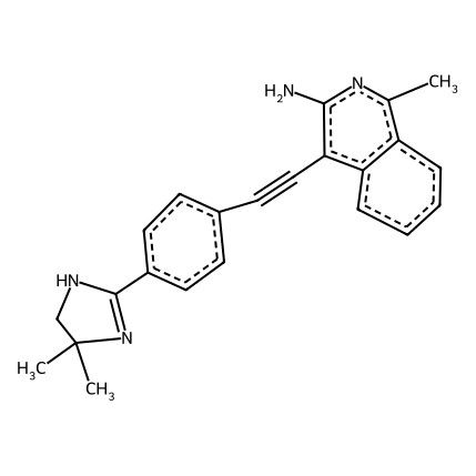 Cc1nc(N)c(C#Cc2ccc(C3=NC(C)(C)CN3)cc2)c2ccccc12